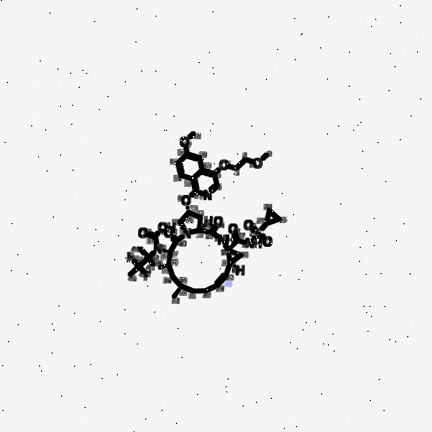 COCCOc1cnc(O[C@@H]2C[C@H]3C(=O)N[C@]4(C(=O)NS(=O)(=O)C5CC5)C[C@H]4/C=C\CC[C@@H](C)C[C@@H](C)[C@H](N(C(=O)O)C(C)(C)C(C)(F)F)C(=O)N3C2)c2ccc(OC)cc12